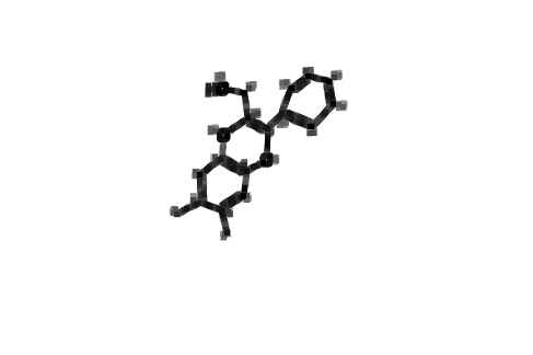 Cc1cc2c(cc1C)OC(c1ccccc1)=C(CO)O2